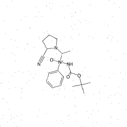 CC(N1CCCC1C#N)[N+]([O-])(NC(=O)OC(C)(C)C)c1ccccc1